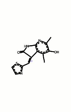 Cc1nc2c(c(C)c1O)/C(=C/c1nccs1)C(=O)N2